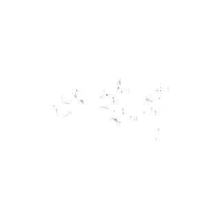 CCCCC(CNc1cc2c(NC(C)C)nc([C@@H](C)OC(=O)c3ccccc3)cc2cn1)C1CCCN(C(=O)OC(C)(C)C)C1